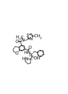 Cc1csc(CN(C)C(=O)c2cc(C(=O)N[C@@H](Cc3ccccc3)[C@H](O)[C@H]3CCCN3)cc3c2CCCO3)n1